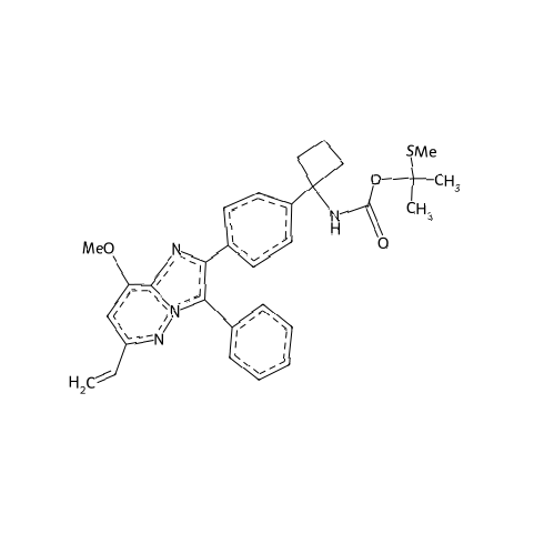 C=Cc1cc(OC)c2nc(-c3ccc(C4(NC(=O)OC(C)(C)SC)CCC4)cc3)c(-c3ccccc3)n2n1